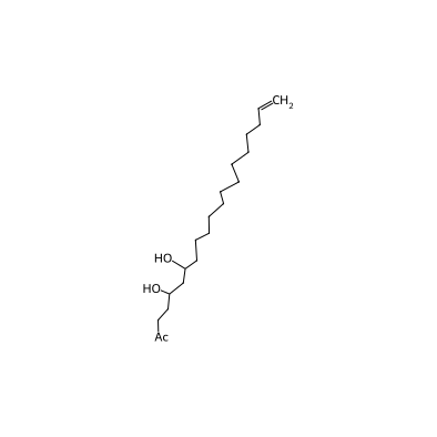 C=CCCCCCCCCCCCC(O)CC(O)CCC(C)=O